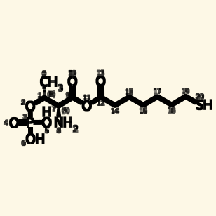 C[C@@H](OP(=O)(O)O)[C@H](N)C(=O)OC(=O)CCCCCCS